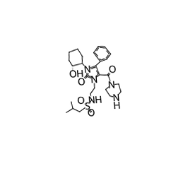 CC(C)CS(=O)(=O)NCCn1c(C(=O)N2CCNCC2)c(-c2ccccc2)n(C2CCCC[C@H]2O)c1=O